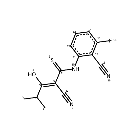 CC(C)/C(O)=C(\C#N)C(=S)Nc1cccc(F)c1C#N